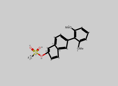 COc1cccc(OC)c1-c1ccc2cc(OS(=O)(=O)C(F)(F)F)ccc2c1